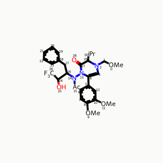 COCN1C=C(c2ccc(OC)c(OC)c2)N(N(C(C)=O)C(Cc2ccccc2)C(O)C(F)(F)F)C(=O)C1C(C)C